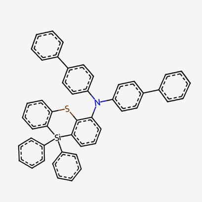 c1ccc(-c2ccc(N(c3ccc(-c4ccccc4)cc3)c3cccc4c3Sc3ccccc3[Si]4(c3ccccc3)c3ccccc3)cc2)cc1